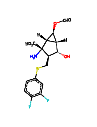 N[C@]1(C(=O)O)[C@@H]2[C@@H](OC=O)[C@@H]2[C@H](O)[C@H]1CSc1ccc(F)c(F)c1